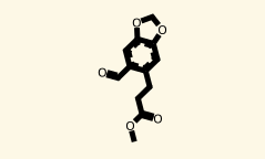 COC(=O)CCc1cc2c(cc1C=O)OCO2